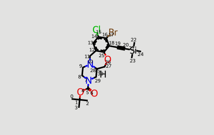 CC(C)(C)OC(=O)N1CCN2Cc3cc(Cl)c(Br)c(C#C[Si](C)(C)C)c3OC[C@H]2C1